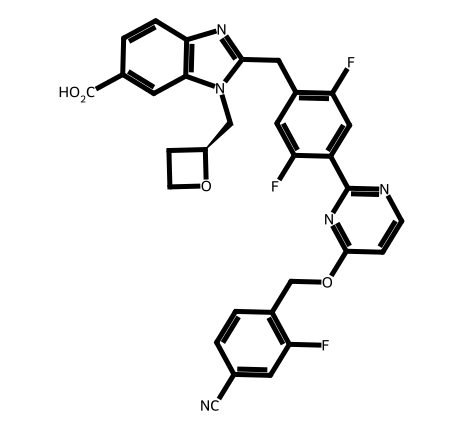 N#Cc1ccc(COc2ccnc(-c3cc(F)c(Cc4nc5ccc(C(=O)O)cc5n4C[C@@H]4CCO4)cc3F)n2)c(F)c1